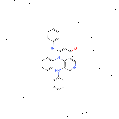 O=c1cc(Nc2ccccc2)n(-c2ccccc2)c2c(Nc3ccccc3)cncc12